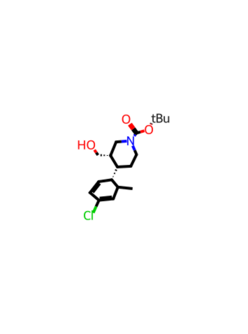 CC1C=C(Cl)C=C[C@@H]1C1CCN(C(=O)OC(C)(C)C)C[C@H]1CO